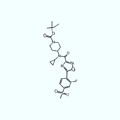 CC(C)(C)OC(=O)N1CCC(N(C(=O)c2noc(-c3ccc(S(C)(=O)=O)cc3F)n2)C2CC2)CC1